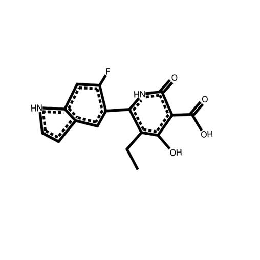 CCc1c(-c2cc3cc[nH]c3cc2F)[nH]c(=O)c(C(=O)O)c1O